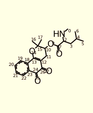 CNC(CC(C)C)C(=O)OC1CC2=C(OC1(C)C)c1ccccc1C(=O)C2=O